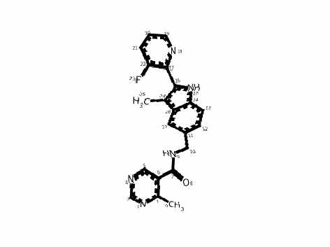 Cc1ncncc1C(=O)NCc1ccc2[nH]c(-c3ncccc3F)c(C)c2c1